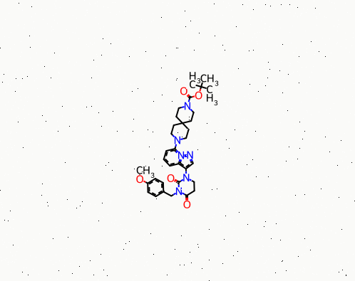 COc1ccc(CN2C(=O)CCN(c3cnn4c(N5CCC6(CCN(C(=O)OC(C)(C)C)CC6)CC5)cccc34)C2=O)cc1